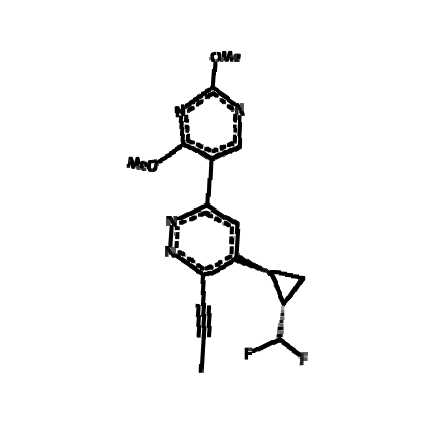 CC#Cc1nnc(-c2cnc(OC)nc2OC)cc1[C@H]1C[C@@H]1C(F)F